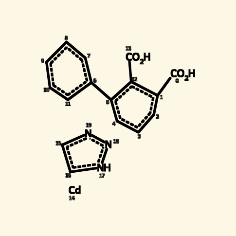 O=C(O)c1cccc(-c2ccccc2)c1C(=O)O.[Cd].c1c[nH]nn1